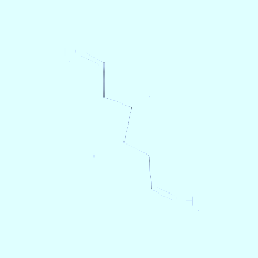 C=CC[C@H]([O])[C@@H]([O])CC=C